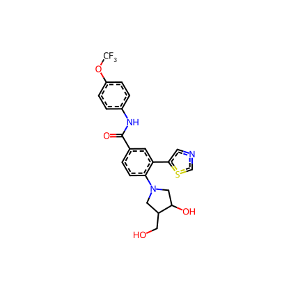 O=C(Nc1ccc(OC(F)(F)F)cc1)c1ccc(N2CC(O)C(CO)C2)c(-c2cncs2)c1